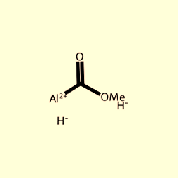 CO[C](=O)[Al+2].[H-].[H-]